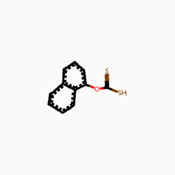 S=C(S)Oc1cccc2ccccc12